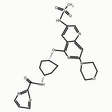 CS(=O)(=O)Nc1cnc2cc(N3CCOCC3)nc(O[C@H]3CC[C@@H](NC(=O)c4ncccn4)CC3)c2c1